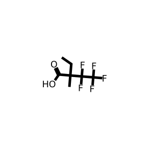 CCC(C)(C(=O)O)C(F)(F)C(F)(F)F